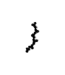 c1ccc(-n2c3ccccc3c3cc4cc(-c5ccc6c(c5)c5ccccc5n6-c5ccc(-c6cc7c8c(cccc8n6)-c6cc(-c8ccc9c%10cc%11cc(-c%12ccc%13c(c%12)c%12ccccc%12n%13-c%12cccc(-c%13ncc%14c%15c(cccc%13%15)-c%13ccccc%13-%14)c%12)ccc%11cc%10n(-c%10ccccc%10)c9c8)ccc6-7)cc5)ccc4cc32)cc1